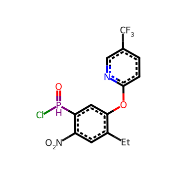 CCc1cc([N+](=O)[O-])c([PH](=O)Cl)cc1Oc1ccc(C(F)(F)F)cn1